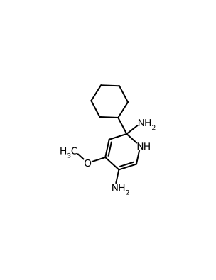 COC1=CC(N)(C2CCCCC2)NC=C1N